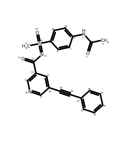 CC(=O)Nc1ccc(S(C)(=O)=NC(=O)c2cncc(C#Cc3ccccc3)c2)cc1